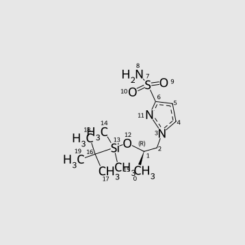 C[C@H](Cn1ccc(S(N)(=O)=O)n1)O[Si](C)(C)C(C)(C)C